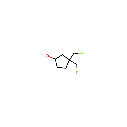 OC1CCC(CF)(CF)C1